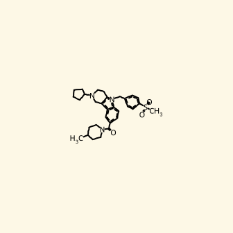 CC1CCN(C(=O)c2ccc3c(c2)c2c(n3Cc3ccc(S(C)(=O)=O)cc3)CCN(C3CCCC3)C2)CC1